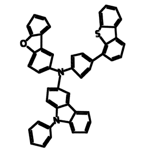 c1ccc(-n2c3ccccc3c3cc(N(c4ccc(-c5cccc6c5sc5ccccc56)cc4)c4ccc5oc6ccccc6c5c4)ccc32)cc1